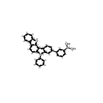 OB(O)c1cccc(-c2ccc3c4c5oc6ccccc6c5ccc4n(-c4ccccc4)c3c2)c1